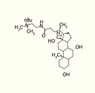 CCCC[N+](C)(C)CCNC(=O)CC[C@@H](C)[C@H]1CCC2C3C(C[C@H](O)[C@@]21C)[C@@]1(C)CC[C@@H](O)CC1C[C@H]3O